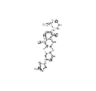 Cc1c(Cc2ccc(-c3cnn(C)c3)nc2)cc2c(=O)n([C@H]3CCOC[C@@H]3O)nnc2c1Cl